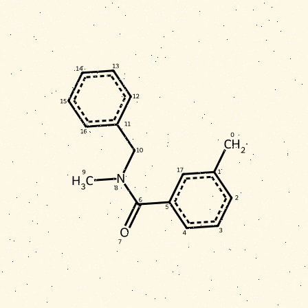 [CH2]c1cccc(C(=O)N(C)Cc2ccccc2)c1